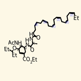 CC/C=C\C/C=C\C/C=C\C/C=C\C/C=C\C/C=C\CCC(=O)N[C@@H](C)C(=O)N[C@H]1CC(C(=O)OCC)=C[C@@H](OC(CC)CC)[C@@H]1NC(C)=O